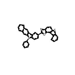 c1ccc(-n2c3ccc(-c4nc5ccc6sc7ccccc7c6c5o4)cc3c3cc4ccccc4cc32)cc1